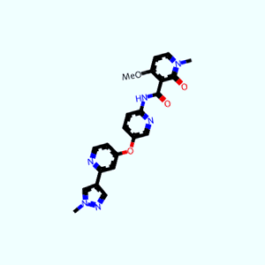 COc1ccn(C)c(=O)c1C(=O)Nc1ccc(Oc2ccnc(-c3cnn(C)c3)c2)cn1